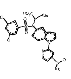 CC[S+]([O-])c1ccnc(-n2ccc3cc(N(C(C(=O)O)C(C)(C)C)S(=O)(=O)c4cc(Cl)cc(Cl)c4)ccc32)c1